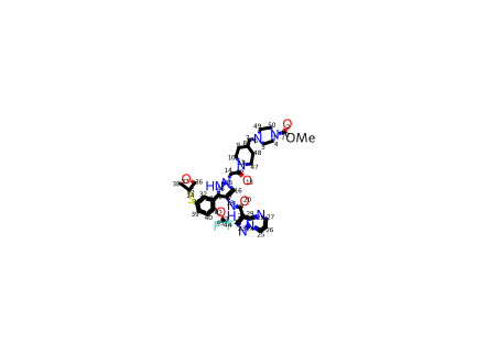 COC(=O)N1CCN(CC2CCN(C(=O)CN3C=C(NC(=O)c4cnn5cccnc45)C(c4cc(SC5COC5)ccc4OC(F)F)N3)CC2)CC1